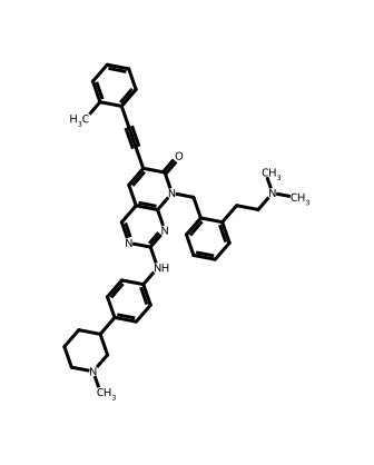 Cc1ccccc1C#Cc1cc2cnc(Nc3ccc(C4CCCN(C)C4)cc3)nc2n(Cc2ccccc2CCN(C)C)c1=O